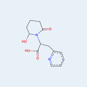 O=C(O)C(Cc1ccccn1)N1C(=O)CCCC1O